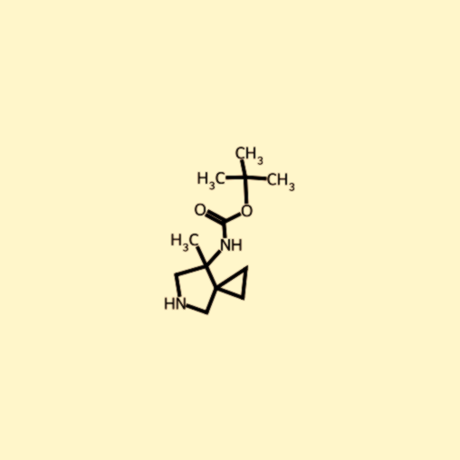 CC(C)(C)OC(=O)NC1(C)CNCC12CC2